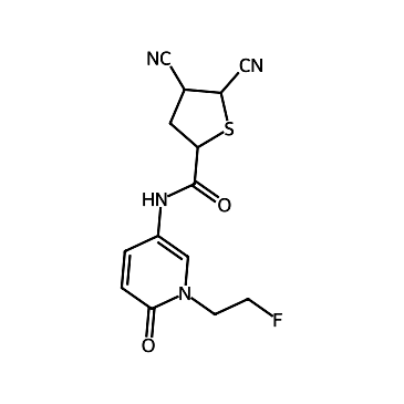 N#CC1CC(C(=O)Nc2ccc(=O)n(CCF)c2)SC1C#N